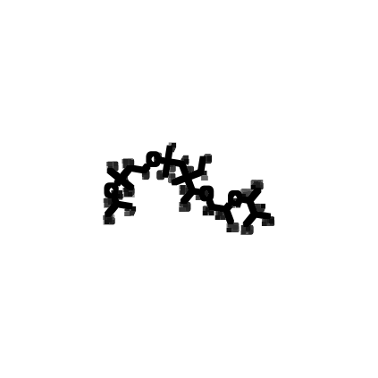 CCC(C)(CC(C)(C)OCCC(C)(C)OC(C)C)C(C)OCC(C)OC(C)C(C)C